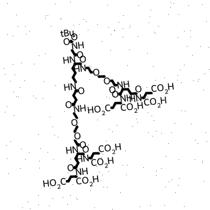 CC(C)(C)OC(=O)NCC(=O)NC(CCCCNC(=O)CCC(=O)NCCOCCOCC(=O)NC(CCC(=O)NC(CCC(=O)O)C(=O)O)C(=O)NC(CCC(=O)O)C(=O)O)C(=O)NCCOCCOCC(=O)NC(CCC(=O)NC(CCC(=O)O)C(=O)O)C(=O)NC(CCC(=O)O)C(=O)O